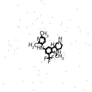 Cc1ccc(Nc2cc3c(c(C(F)(F)F)c2)N(C)[C@@H]2CCNC[C@H]32)c(C)n1